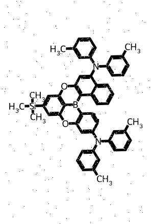 Cc1cccc(N(c2cccc(C)c2)c2cc3c(c4ccccc24)B2c4c(cc([Si](C)(C)C)cc4Oc4cc(N(c5cccc(C)c5)c5cccc(C)c5)c5ccccc5c42)O3)c1